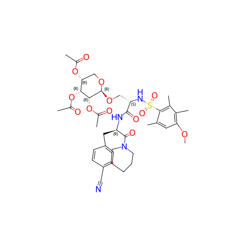 COc1cc(C)c(S(=O)(=O)N[C@@H](CO[C@@H]2OC[C@@H](OC(C)=O)[C@@H](OC(C)=O)[C@H]2OC(C)=O)C(=O)N[C@H](Cc2ccc(C#N)cc2)C(=O)N2CCCCC2)c(C)c1C